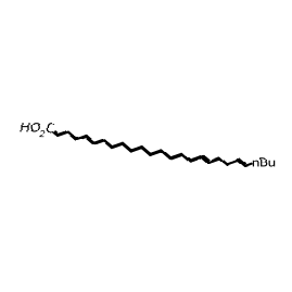 CCCCC=CCCC=CCCCCCCCCCCCCCCCC(=O)O